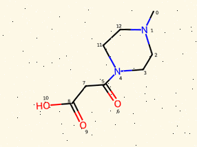 CN1CCN(C(=O)CC(=O)O)CC1